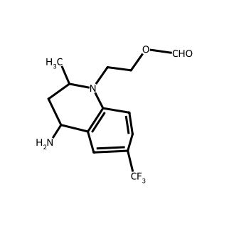 CC1CC(N)c2cc(C(F)(F)F)ccc2N1CCOC=O